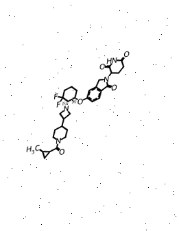 CC1CC1C(=O)N1CCC(C2CN([C@H]3[C@H](Oc4ccc5c(c4)CN(C4CCC(=O)NC4=O)C5=O)CCCC3(F)F)C2)CC1